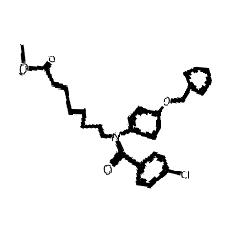 COC(=O)CCCCCCCN(C(=O)c1ccc(Cl)cc1)c1ccc(OCc2ccccc2)cc1